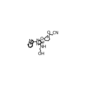 N#CCC(=O)N1CCC[C@@H](Oc2nc(-c3cnn4ccccc34)nc(NCCO)c2F)C1